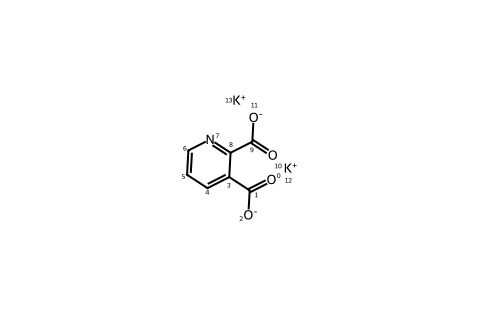 O=C([O-])c1cccnc1C(=O)[O-].[K+].[K+]